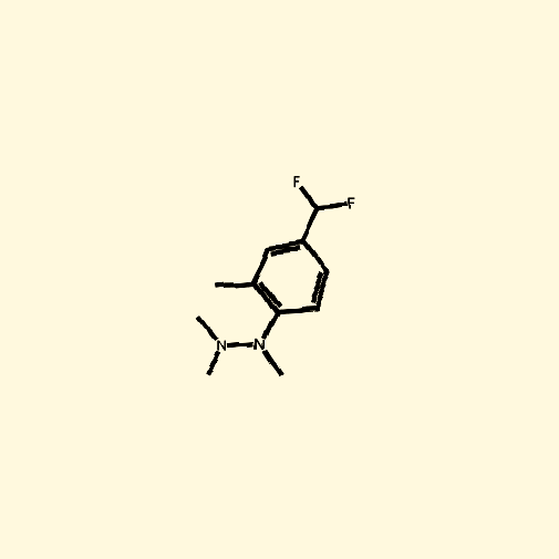 Cc1cc(C(F)F)ccc1N(C)N(C)C